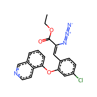 CCOC(=O)C(=Cc1ccc(Cl)cc1Oc1cccc2cnccc12)N=[N+]=[N-]